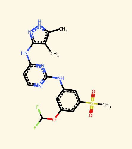 Cc1[nH]nc(Nc2ccnc(Nc3cc(OC(F)F)cc(S(C)(=O)=O)c3)n2)c1C